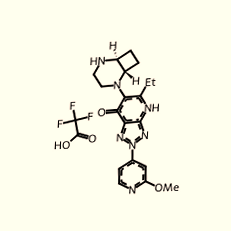 CCc1[nH]c2nn(-c3ccnc(OC)c3)nc2c(=O)c1N1CCN[C@H]2CC[C@@H]21.O=C(O)C(F)(F)F